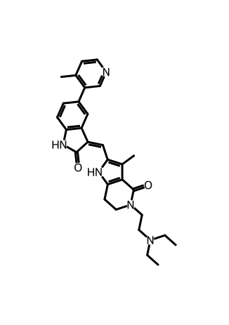 CCN(CC)CCN1CCc2[nH]c(/C=C3\C(=O)Nc4ccc(-c5cnccc5C)cc43)c(C)c2C1=O